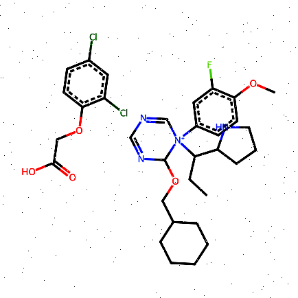 CCC(C1CCCN1)[N+]1(c2ccc(OC)c(F)c2)C=NC=NC1OCC1CCCCC1.O=C(O)COc1ccc(Cl)cc1Cl